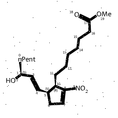 CCCCC[C@H](O)C=C[C@@H]1CC=C([N+](=O)[O-])[C@@H]1CCCCCCC(=O)OC